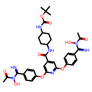 CC(=O)N(O)C(=N)c1ccc(Oc2cc(C(=O)NC3CCC(NC(=O)OC(C)(C)C)CC3)cc(Oc3ccc(C(=N)N(O)C(C)=O)cc3)n2)cc1